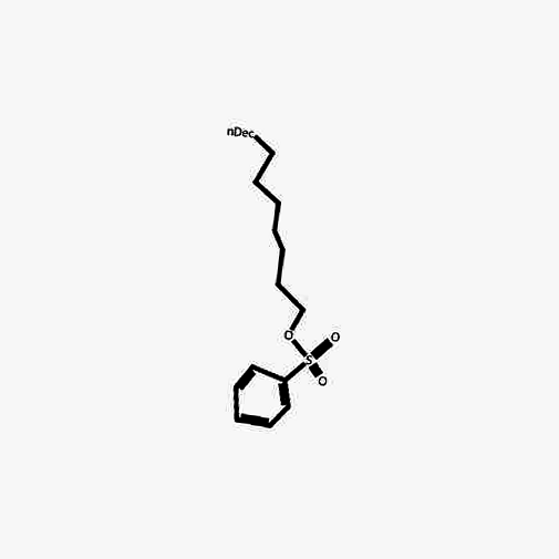 CCCCCCCCCCCCCCCCCOS(=O)(=O)c1ccccc1